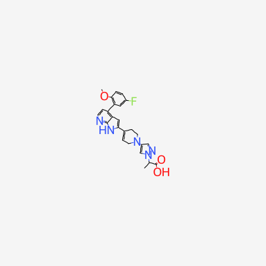 COc1ccc(F)cc1-c1ccnc2[nH]c(C3=CCN(c4cnn(C(C)C(=O)O)c4)CC3)cc12